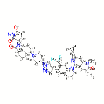 Cc1cc2c(N3CCCc4cc(-c5cnn(C6CCN(c7ccc8c9c(cccc79)C(=O)N8C7CCC(=O)NC7=O)CC6)c5)c(C(F)F)cc43)nc(C3CC3)cc2n(C)c1=O